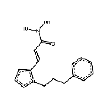 O=C(/C=C/c1cccn1CCCc1ccccc1)N(O)O